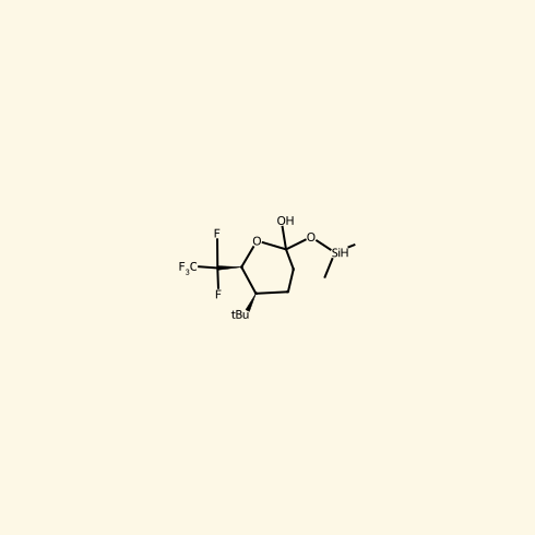 C[SiH](C)OC1(O)CC[C@@H](C(C)(C)C)[C@@H](C(F)(F)C(F)(F)F)O1